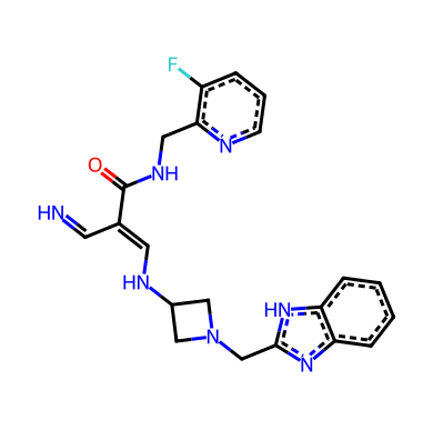 N=C/C(=C\NC1CN(Cc2nc3ccccc3[nH]2)C1)C(=O)NCc1ncccc1F